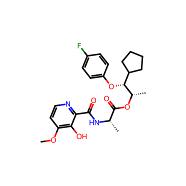 COc1ccnc(C(=O)N[C@@H](C)C(=O)O[C@@H](C)[C@H](Oc2ccc(F)cc2)C2CCCC2)c1O